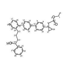 CCOC(=O)CC1(c2ccc(-c3ccc(-c4ccncc4CCCC(O)c4ccccc4)cc3)cc2)CC1